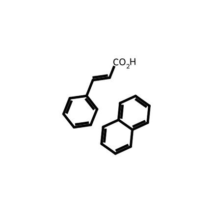 O=C(O)C=Cc1ccccc1.c1ccc2ccccc2c1